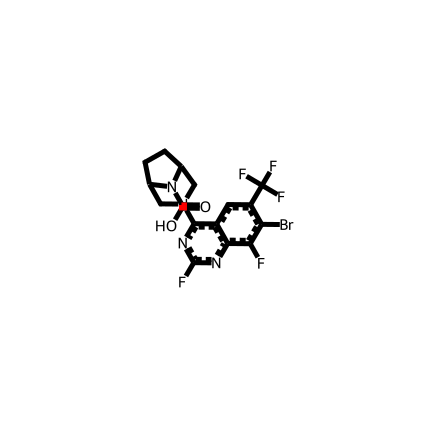 O=C(O)N1C2CCC1CN(c1nc(F)nc3c(F)c(Br)c(C(F)(F)F)cc13)C2